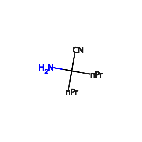 CCCC(N)(C#N)CCC